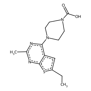 CCc1cc2c(N3CCN(C(=O)O)CC3)nc(C)nc2s1